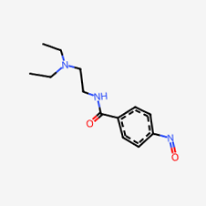 CCN(CC)CCNC(=O)c1ccc(N=O)cc1